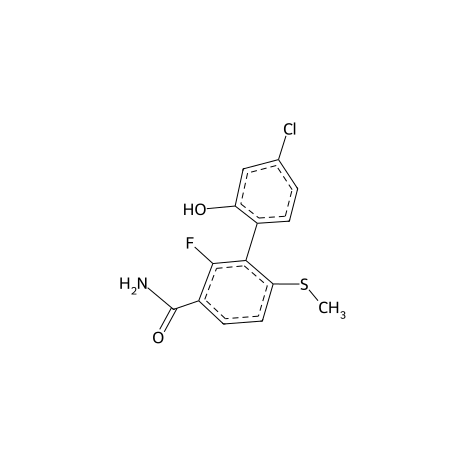 CSc1ccc(C(N)=O)c(F)c1-c1ccc(Cl)cc1O